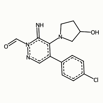 N=c1c(N2CCC(O)C2)c(-c2ccc(Cl)cc2)cnn1C=O